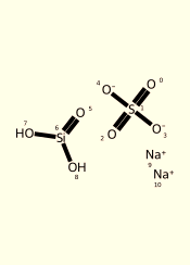 O=S(=O)([O-])[O-].O=[Si](O)O.[Na+].[Na+]